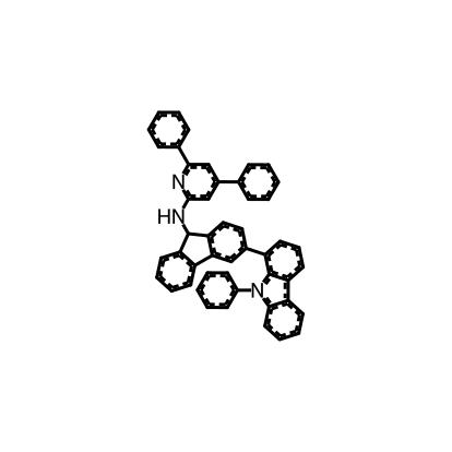 c1ccc(-c2cc(NC3c4ccccc4-c4cc(-c5cccc6c7ccccc7n(-c7ccccc7)c56)ccc43)nc(-c3ccccc3)c2)cc1